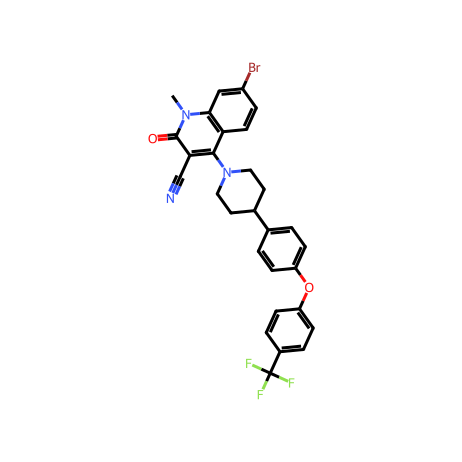 Cn1c(=O)c(C#N)c(N2CCC(c3ccc(Oc4ccc(C(F)(F)F)cc4)cc3)CC2)c2ccc(Br)cc21